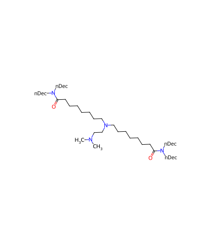 CCCCCCCCCCN(CCCCCCCCCC)C(=O)CCCCCCCN(CCCCCCCC(=O)N(CCCCCCCCCC)CCCCCCCCCC)CCN(C)C